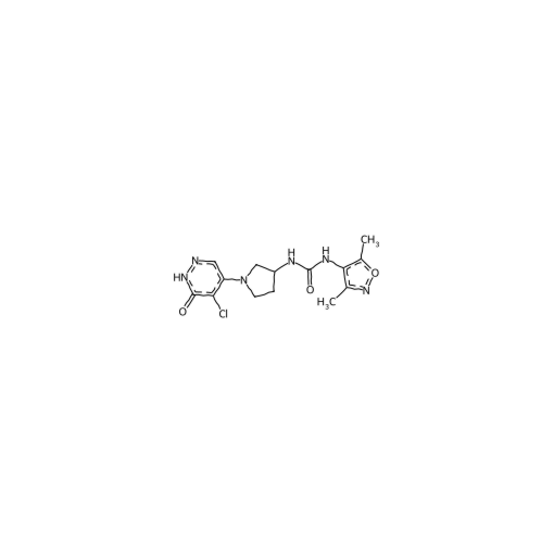 Cc1noc(C)c1NC(=O)NC1CCN(c2cn[nH]c(=O)c2Cl)C1